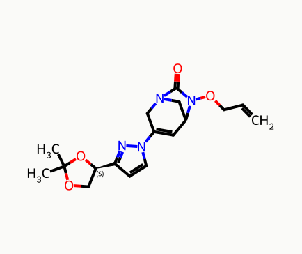 C=CCON1C(=O)N2CC(n3ccc([C@H]4COC(C)(C)O4)n3)=CC1C2